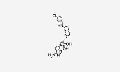 Nc1ncnc2c1ccn2[C@@H]1C[C@H](CCc2ccc3ccc(NCc4ccc(Cl)cc4)cc3c2)[C@@H](O)[C@H]1O